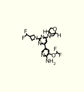 Nc1ncc(-c2cc(N3C[C@@H]4C[C@H]3CO4)nc(N3CC(C(F)F)C3)n2)cc1OC(F)F